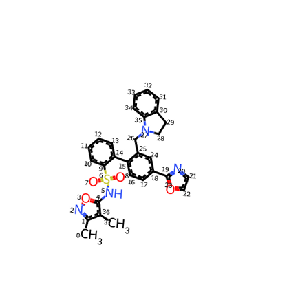 Cc1noc(NS(=O)(=O)c2ccccc2-c2ccc(-c3ncco3)cc2CN2CCc3ccccc32)c1C